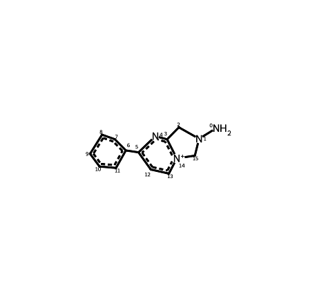 NN1Cc2nc(-c3ccccc3)cc[n+]2C1